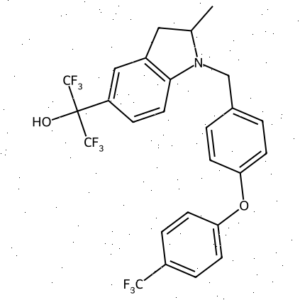 CC1Cc2cc(C(O)(C(F)(F)F)C(F)(F)F)ccc2N1Cc1ccc(Oc2ccc(C(F)(F)F)cc2)cc1